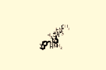 CCNC(=S)N/N=C(\C)c1ccc(N)c(NCc2ccc3ncccc3c2)n1